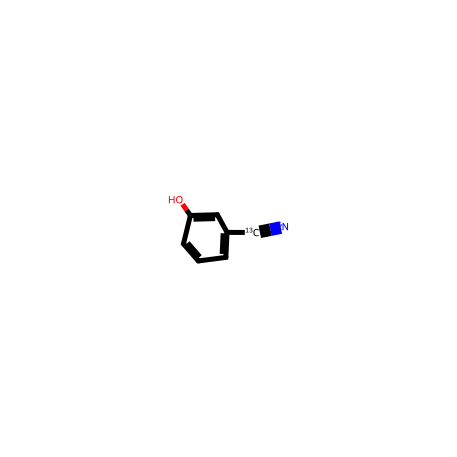 [15N]#[13C]c1cccc(O)c1